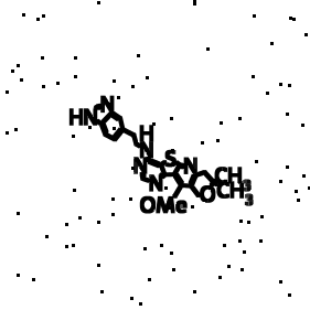 COCc1c2c(nc3sc4c(NCCc5ccc6[nH]cnc6c5)ncnc4c13)CC(C)(C)OC2